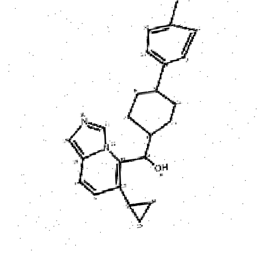 Nc1ccc(C2CCC(C(O)c3c(C4CC4)ccc4cncn34)CC2)cc1